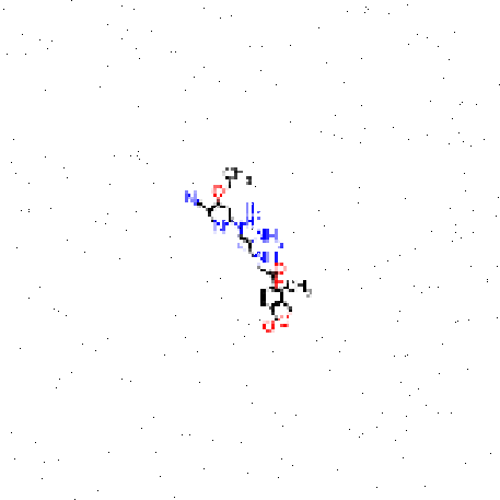 CCOc1cc(N(N)/C=C(\N)CNC[C@H](O)c2ccc3c(c2C)COC3=O)ncc1C#N